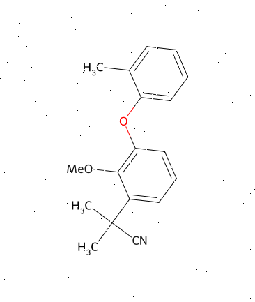 COc1c(Oc2ccccc2C)cccc1C(C)(C)C#N